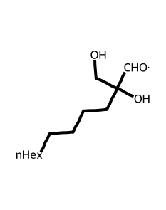 CCCCCCCCCCC(O)([C]=O)CO